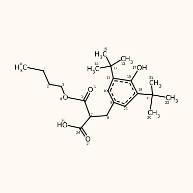 CCCCOC(=O)C(Cc1cc(C(C)(C)C)c(O)c(C(C)(C)C)c1)C(=O)O